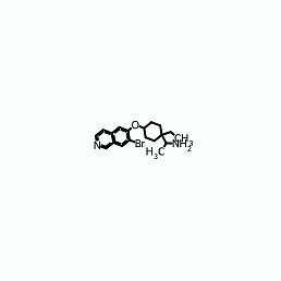 CCC1(C(C)N)CCC(Oc2cc3ccncc3cc2Br)CC1